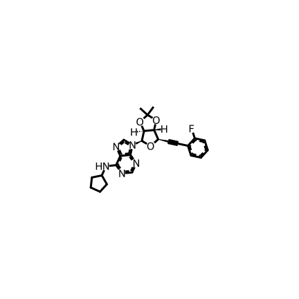 CC1(C)O[C@H]2[C@H](O1)[C@@H](C#Cc1ccccc1F)O[C@H]2n1cnc2c(NC3CCCC3)ncnc21